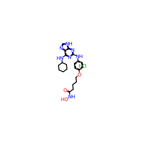 Cl.O=C(CCCCOc1ccc(Nc2nc(NC3CCCCC3)c3nc[nH]c3n2)cc1)NO